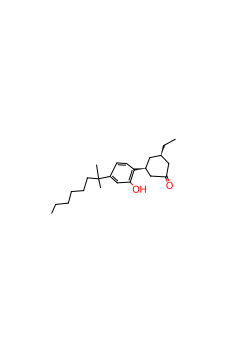 CCCCCCC(C)(C)c1ccc([C@@H]2CC(=O)C[C@H](CC)C2)c(O)c1